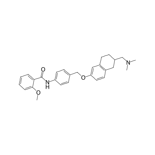 COc1ccccc1C(=O)Nc1ccc(COc2ccc3c(c2)CCC(CN(C)C)C3)cc1